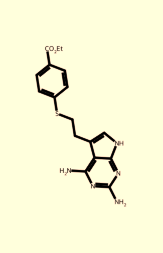 CCOC(=O)c1ccc(SCCc2c[nH]c3nc(N)nc(N)c23)cc1